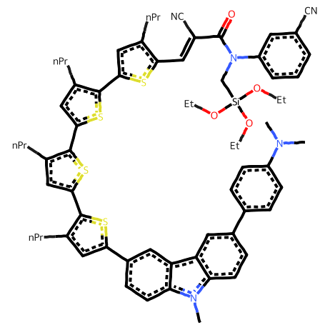 CCCc1cc(-c2sc(-c3sc(-c4sc(-c5ccc6c(c5)c5cc(-c7ccc(N(C)C)cc7)ccc5n6C)cc4CCC)cc3CCC)cc2CCC)sc1/C=C(\C#N)C(=O)N(C[Si](OCC)(OCC)OCC)c1cccc(C#N)c1